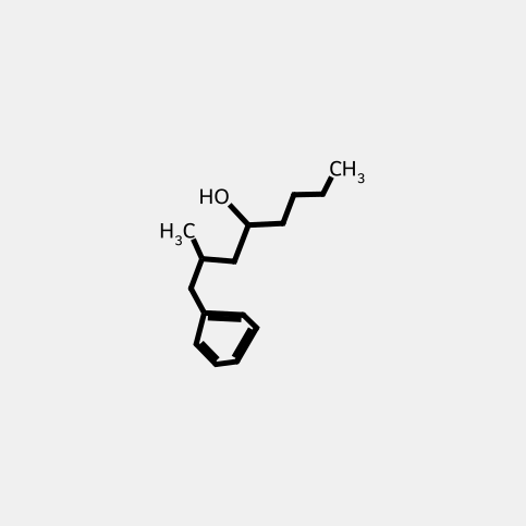 CCCCC(O)CC(C)Cc1ccccc1